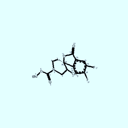 CC1CN(C(=O)OC(C)(C)C)CC[C@@]12OC(=O)c1cc(F)c(F)cc12